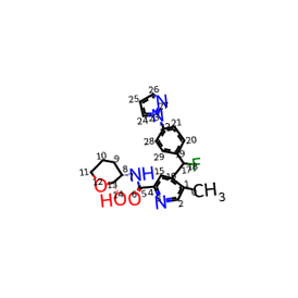 Cc1cnc(C(=O)N[C@H]2CCCO[C@H]2O)cc1C(F)c1ccc(-n2cccn2)cc1